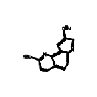 CCCCc1cnc2ccc3ccc(CCCC)nc3c2c1